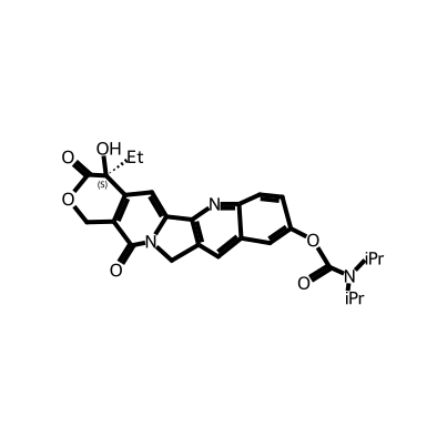 CC[C@@]1(O)C(=O)OCc2c1cc1n(c2=O)Cc2cc3cc(OC(=O)N(C(C)C)C(C)C)ccc3nc2-1